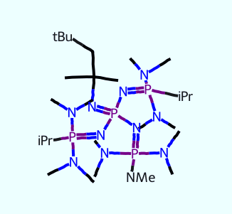 CNP(=NP(=NC(C)(C)CC(C)(C)C)(N=P(C(C)C)(N(C)C)N(C)C)N=P(C(C)C)(N(C)C)N(C)C)(N(C)C)N(C)C